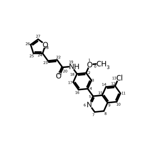 COc1cc(C2=NCCc3ccc(Cl)cc32)ccc1NC(=O)C=Cc1ccco1